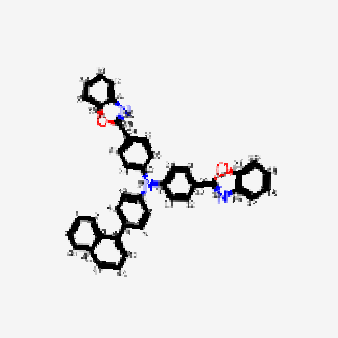 c1ccc2c(-c3ccc(N(c4ccc(-c5nc6ccccc6o5)cc4)c4ccc(-c5nc6ccccc6o5)cc4)cc3)cccc2c1